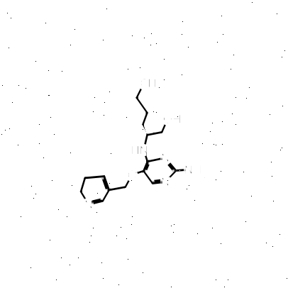 CCCC[C@@H](CO)Nc1nc(N)ncc1OCC1=CCCN=C1